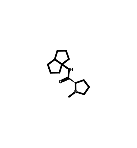 CN1CCC[C@H]1C(=O)NC12CCCC1CCC2